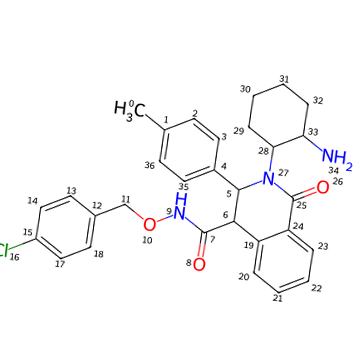 Cc1ccc(C2C(C(=O)NOCc3ccc(Cl)cc3)c3ccccc3C(=O)N2C2CCCCC2N)cc1